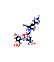 CC(=O)c1nn(CC(=O)N2C[C@](C)([C@H](C)O)C[C@H]2C(=O)Nc2nc(Br)ccc2CO)c2cnc(-c3cnc(C)nc3)cc12